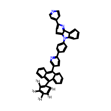 [2H]c1c([2H])c([2H])c(-c2c3ccccc3c(-c3ccc(-c4ccc(-n5c6ccccc6c6nc(-c7ccncc7)ccc65)cc4)nc3)c3ccccc23)c([2H])c1[2H]